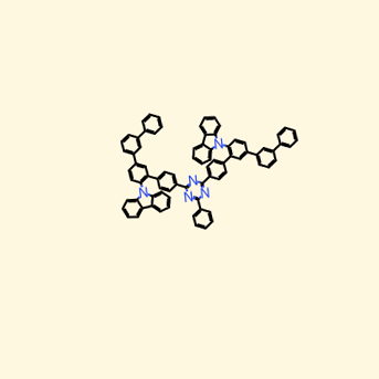 c1ccc(-c2cccc(-c3ccc(-n4c5ccccc5c5ccccc54)c(-c4ccc(-c5nc(-c6ccccc6)nc(-c6ccc(-c7cc(-c8cccc(-c9ccccc9)c8)ccc7-n7c8ccccc8c8ccccc87)cc6)n5)cc4)c3)c2)cc1